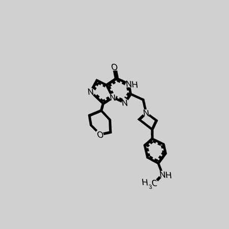 CNc1ccc(C2CN(Cc3nn4c(C5CCOCC5)ncc4c(=O)[nH]3)C2)cc1